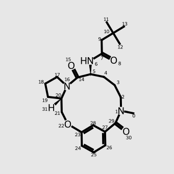 CN1CCC[C@H](NC(=O)CC(C)(C)C)C(=O)N2CCC[C@H]2COc2cccc(c2)C1=O